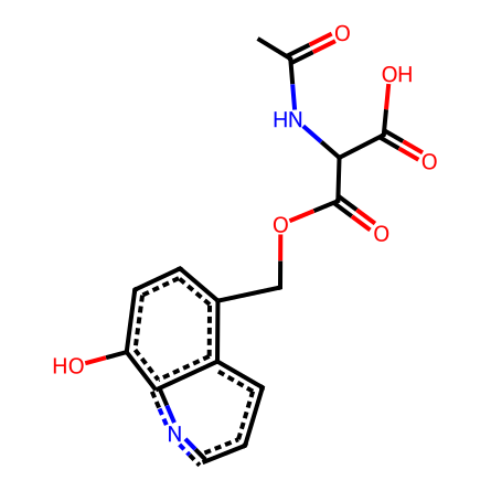 CC(=O)NC(C(=O)O)C(=O)OCc1ccc(O)c2ncccc12